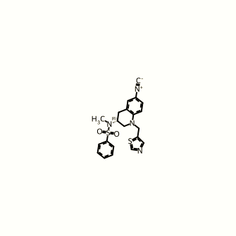 [C-]#[N+]c1ccc2c(c1)C[C@@H](N(C)S(=O)(=O)c1ccccc1)CN2Cc1cncs1